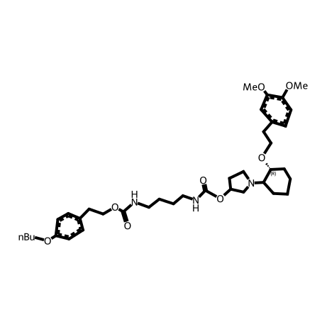 CCCCOc1ccc(CCOC(=O)NCCCCNC(=O)OC2CCN(C3CCCC[C@H]3OCCc3ccc(OC)c(OC)c3)C2)cc1